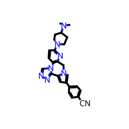 CN(C)C1CCN(c2ccc3c(n2)Cn2cc(-c4ccc(C#N)cc4)cc2-c2nncn2-3)CC1